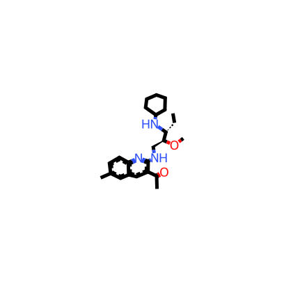 CC[C@@H](NC1CCCCC1)[C@H](CNc1nc2ccc(C)cc2cc1C(C)=O)OC